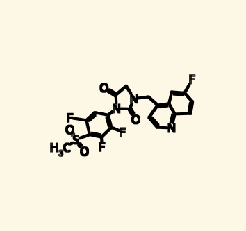 CS(=O)(=O)c1c(F)cc(N2C(=O)CN(Cc3ccnc4ccc(F)cc34)C2=O)c(F)c1F